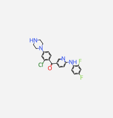 O=C(c1ccc(Nc2ccc(F)cc2F)nc1)c1ccc(N2CCNCC2)cc1Cl